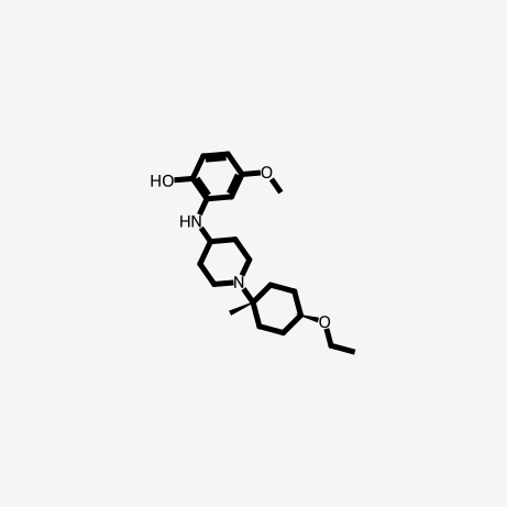 CCO[C@H]1CC[C@](C)(N2CCC(Nc3cc(OC)ccc3O)CC2)CC1